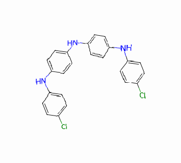 Clc1ccc(Nc2ccc(Nc3ccc(Nc4ccc(Cl)cc4)cc3)cc2)cc1